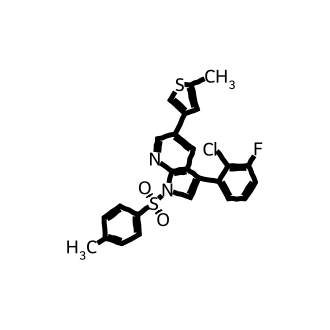 Cc1ccc(S(=O)(=O)n2cc(-c3cccc(F)c3Cl)c3cc(-c4csc(C)c4)cnc32)cc1